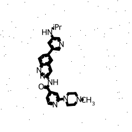 CC(C)Nc1cncc(-c2ccc3nnc(NC(=O)c4ccnc(N5CCN(C)CC5)c4)cc3c2)c1